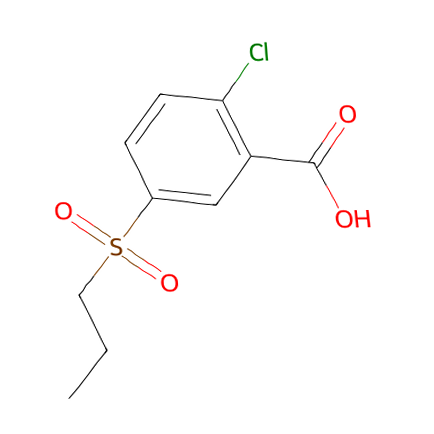 CCCS(=O)(=O)c1ccc(Cl)c(C(=O)O)c1